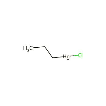 CC[CH2][Hg][Cl]